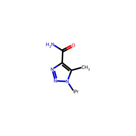 Cc1c(C(N)=O)nnn1C(C)C